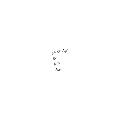 [Ag+].[Au+3].[Ni+2].[S-2].[S-2].[S-2]